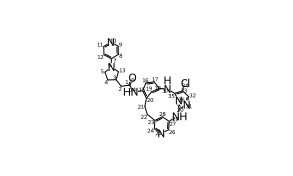 O=C(CC1CCN(c2ccncc2)C1)Nc1ccc2cc1CCc1cncc(c1)Nc1ncc(Cl)c(n1)N2